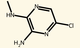 CNc1ncc(Cl)nc1N